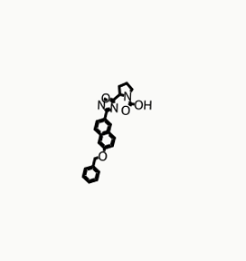 O=C(O)N1CCCC1c1nc(-c2ccc3cc(OCc4ccccc4)ccc3c2)no1